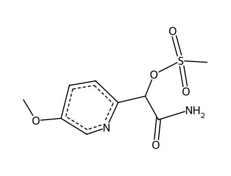 COc1ccc(C(OS(C)(=O)=O)C(N)=O)nc1